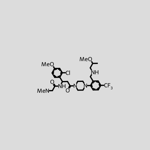 CNCC(=O)NC(CC(=O)N1CCN(c2ccc(C(F)(F)F)cc2CNCC(C)OC)CC1)c1ccc(OC)cc1Cl